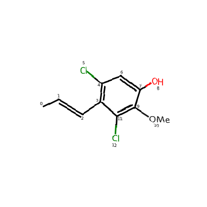 CC=Cc1c(Cl)cc(O)c(OC)c1Cl